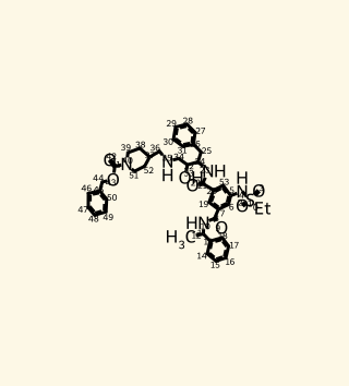 CCS(=O)(=O)Nc1cc(C(=O)NC(C)c2ccccc2)cc(C(=O)NC(Cc2ccccc2)C(O)CNCC2CCN(C(=O)OCc3ccccc3)CC2)c1